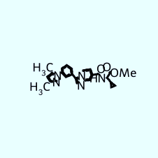 COC(=O)[C@@H](NC(=O)c1ccn2c(-c3cccc(-n4nc(C)cc4C)c3)cnc2c1)C1CC1